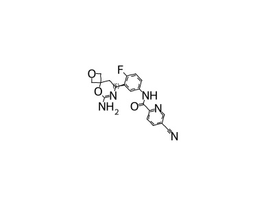 N#Cc1ccc(C(=O)Nc2ccc(F)c([C@@H]3CC4(COC4)OC(N)=N3)c2)nc1